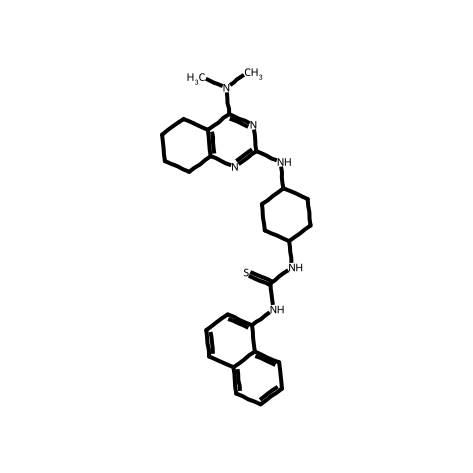 CN(C)c1nc(NC2CCC(NC(=S)Nc3cccc4ccccc34)CC2)nc2c1CCCC2